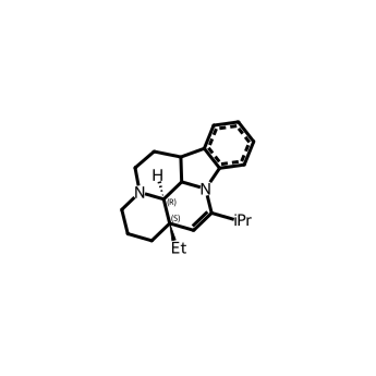 CC[C@@]12C=C(C(C)C)N3c4ccccc4C4CCN(CCC1)[C@H]2C43